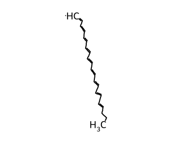 [CH]=CC=CC=CC=CC=CC=CC=CC=CC=CCCC